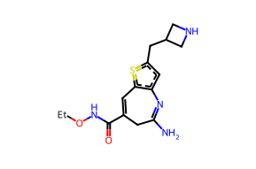 CCONC(=O)C1=Cc2sc(CC3CNC3)cc2N=C(N)C1